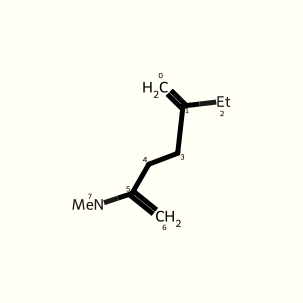 C=C(CC)CCC(=C)NC